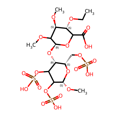 CCO[C@@H]1C(C(=O)O)O[C@@H](O[C@H]2C(OS(=O)(=O)O)C(OS(=O)(=O)O)[C@@H](OC)O[C@H]2COS(=O)(=O)O)C(OC)[C@H]1OC